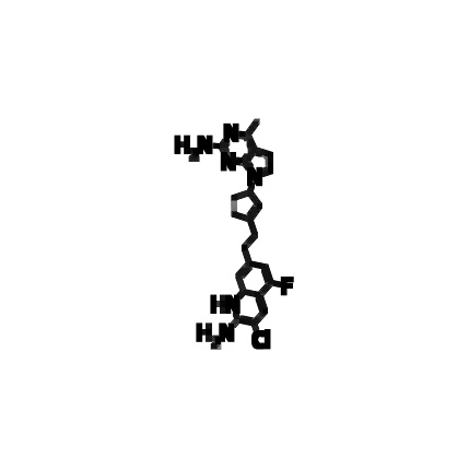 Cc1nc(N)nc2c1ccn2C1C=C(CCC2=CC3NC(N)=C(Cl)C=C3C(F)=C2)CC1